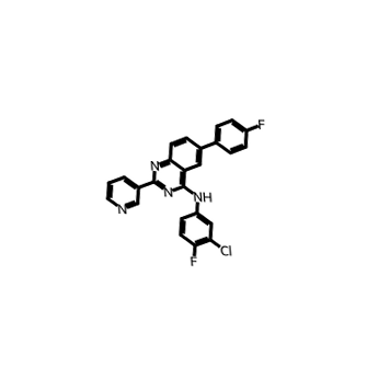 Fc1ccc(-c2ccc3nc(-c4cccnc4)nc(Nc4ccc(F)c(Cl)c4)c3c2)cc1